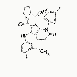 Cc1cc(Nc2c(C(=O)N3CCC[C@@H]3CO)sc3c2ccc(=O)n3-c2ccc(F)cc2)ccc1F